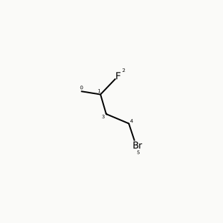 CC(F)CCBr